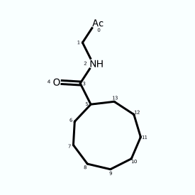 CC(=O)CNC(=O)C1CCCCCCCC1